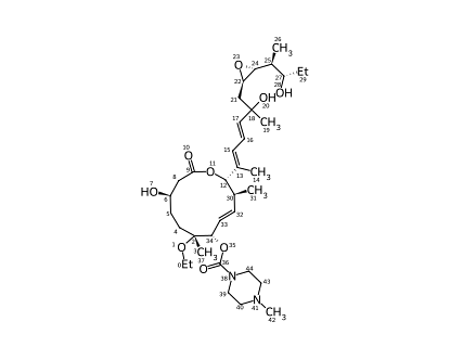 CCO[C@]1(C)CC[C@@H](O)CC(=O)O[C@H](/C(C)=C/C=C/C(C)(O)C[C@H]2O[C@@H]2[C@@H](C)[C@@H](O)CC)[C@@H](C)/C=C/[C@@H]1OC(=O)N1CCN(C)CC1